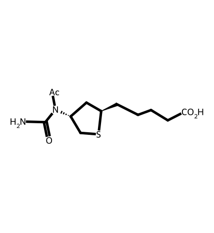 CC(=O)N(C(N)=O)[C@H]1CS[C@H](CCCCC(=O)O)C1